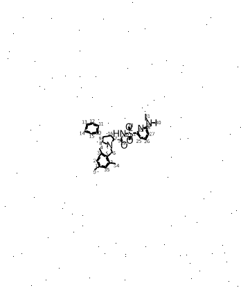 Cc1cc(C)c(CN2C[C@H](c3ccccc3)C[C@@H]2C(=O)NS(=O)(=O)c2cccc(N(I)I)n2)c(C)c1